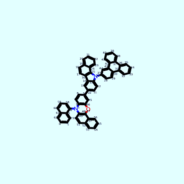 c1ccc2c(N3c4ccc(-c5ccc6c(c5)c5ccc7ccccc7c5n6-c5ccc6c7ccccc7c7ccccc7c6c5)cc4Oc4c3ccc3ccccc43)cccc2c1